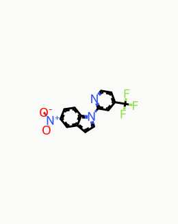 O=[N+]([O-])c1ccc2c(ccn2-c2cc(C(F)(F)F)ccn2)c1